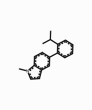 CC(C)c1ccccc1-c1ccc2c(ccn2C)c1